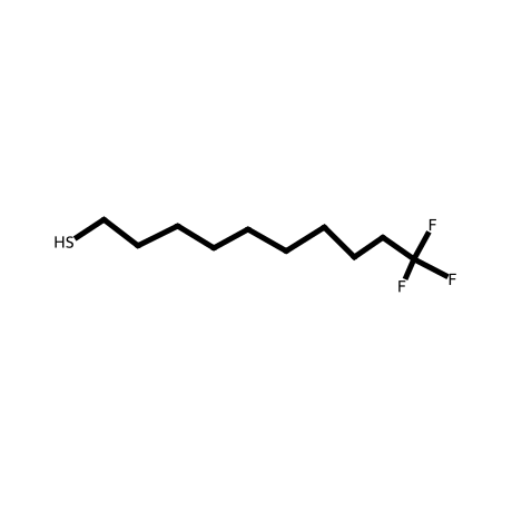 FC(F)(F)CCCCCCCCCS